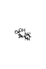 O=C(O)[C@@H]1C[C@H]1c1cnccn1